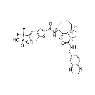 O=C(N[C@H]1CCCC[C@H]2CC[C@@H](C(=O)NCc3ccc4nccnc4c3)N2C1=O)c1cc2cc(C(F)(F)P(=O)(O)O)ccc2s1